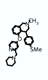 CSc1ccc(C2CN(C)Cc3cccc(Oc4ccnc(CN5CCCCC5)c4)c32)cc1